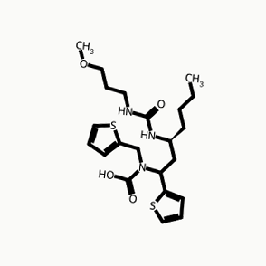 CCCC[C@@H](CC(c1cccs1)N(Cc1cccs1)C(=O)O)NC(=O)NCCCOC